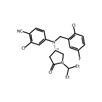 CCC(CC)N1C[C@@H](N(Cc2cc(F)ccc2Cl)c2ccc(C#N)c(Cl)c2)CC1=O